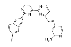 Nc1cc(/C=C/c2ccnc(-c3ccnc(-n4cc5ccc(F)cc5c4)n3)n2)ccn1